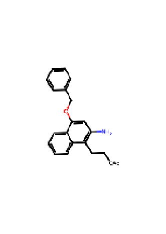 CC(=O)OCCc1c(N)cc(OCc2ccccc2)c2ccccc12